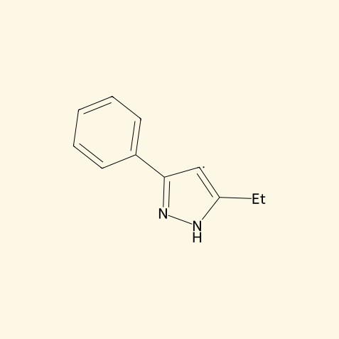 CCc1[c]c(-c2ccccc2)n[nH]1